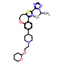 CC(C)n1ncnc1-c1nc2c(s1)CCOc1cc(C3CCN(CCOC4CCCCO4)CC3)ccc1-2